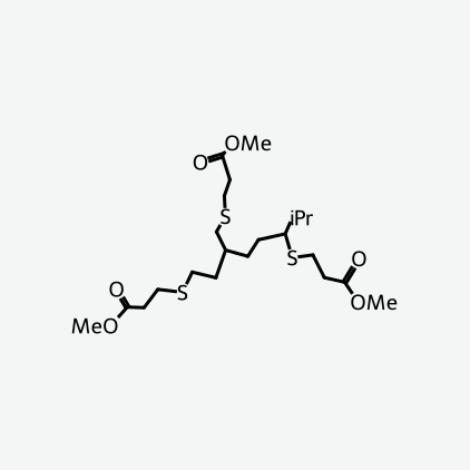 COC(=O)CCSCCC(CCC(SCCC(=O)OC)C(C)C)CSCCC(=O)OC